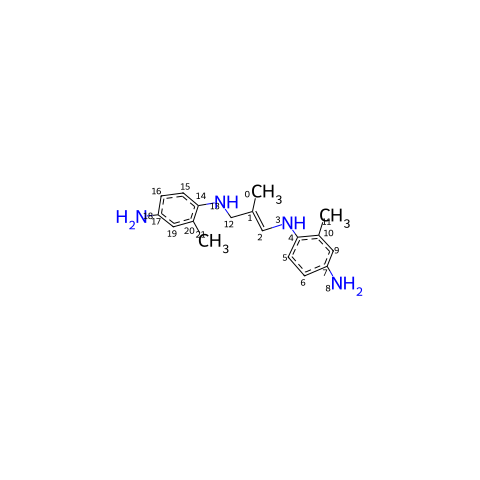 C/C(=C\Nc1ccc(N)cc1C)CNc1ccc(N)cc1C